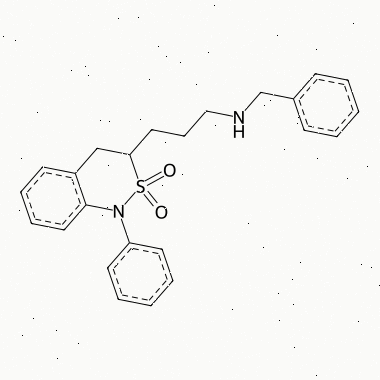 O=S1(=O)C(CCCNCc2ccccc2)Cc2ccccc2N1c1ccccc1